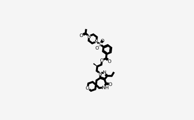 CCc1nn(C[C@@H](C)COC(=O)c2cccc(S(=O)(=O)N3CCN(C(C)=O)CC3)c2)c2c1C(=O)NCC1(CCOCC1)C2